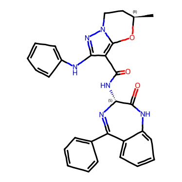 C[C@@H]1CCn2nc(Nc3ccccc3)c(C(=O)N[C@H]3N=C(c4ccccc4)c4ccccc4NC3=O)c2O1